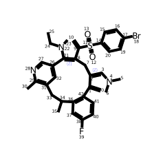 C=C1/C(=C\N(C)C)C/C(C(=C)S(=O)(=O)c2ccc(Br)cc2)=C(/N(C)CC)c2cnc(C)c(c2)CC(C)c2cc(F)ccc21